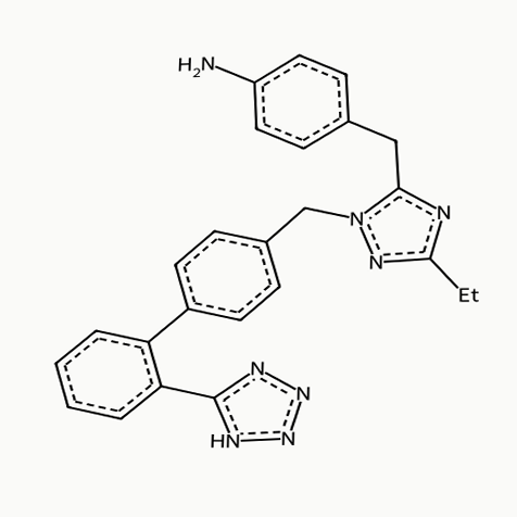 CCc1nc(Cc2ccc(N)cc2)n(Cc2ccc(-c3ccccc3-c3nnn[nH]3)cc2)n1